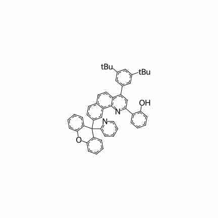 CC(C)(C)c1cc(-c2cc(-c3ccccc3O)nc3c2ccc2ccc(C4(c5ccccn5)c5ccccc5Oc5ccccc54)cc23)cc(C(C)(C)C)c1